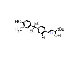 CCc1cc(C(CC)(CC)c2ccc(O)c(C)c2)ccc1/C=C/C(O)C(C)(C)C